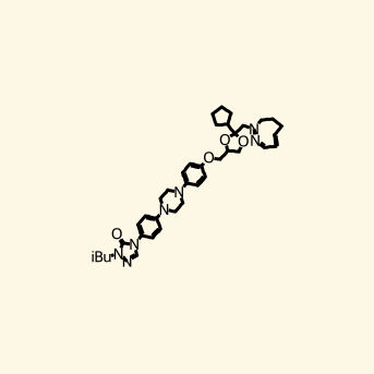 CCC(C)n1ncn(-c2ccc(N3CCN(c4ccc(OCC5COC(CN6CCC/C=C/C=N\6)(C6CCCC6)O5)cc4)CC3)cc2)c1=O